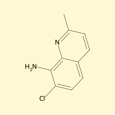 Cc1ccc2ccc(Cl)c(N)c2n1